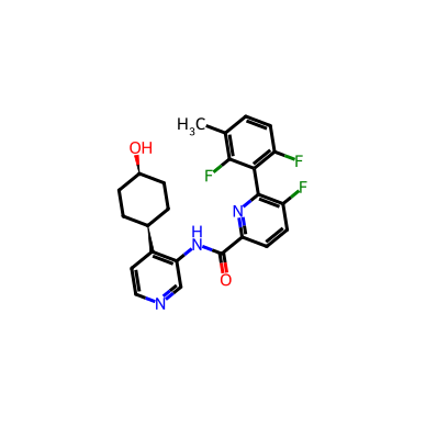 Cc1ccc(F)c(-c2nc(C(=O)Nc3cnccc3[C@H]3CC[C@@H](O)CC3)ccc2F)c1F